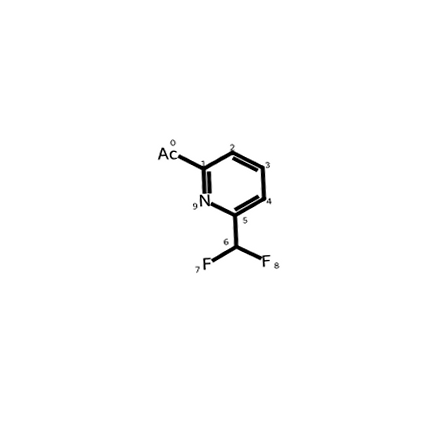 CC(=O)c1cccc(C(F)F)n1